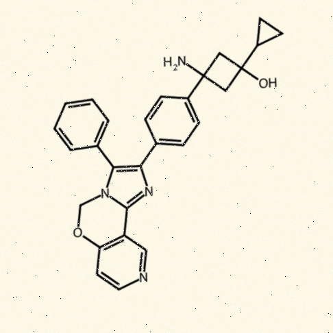 NC1(c2ccc(-c3nc4n(c3-c3ccccc3)COc3ccncc3-4)cc2)CC(O)(C2CC2)C1